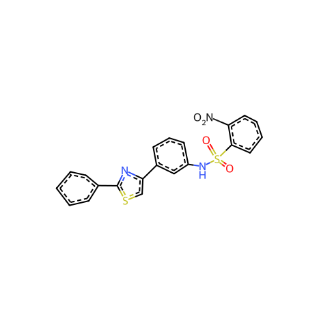 O=[N+]([O-])c1ccccc1S(=O)(=O)Nc1cccc(-c2csc(-c3ccccc3)n2)c1